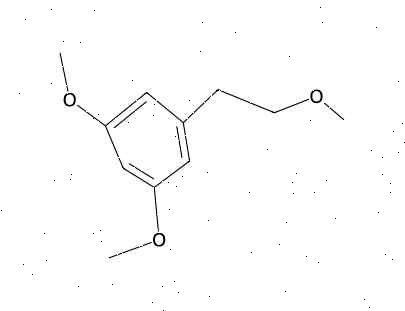 COCCc1cc(OC)cc(OC)c1